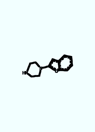 c1ccc2oc(N3CCNCC3)cc2c1